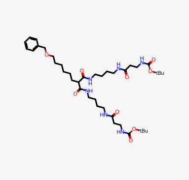 CC(C)(C)OC(=O)NCCC(=O)NCCCCNC(=O)C(CCCCCCOCc1ccccc1)C(=O)NCCCCNC(=O)CCNC(=O)OC(C)(C)C